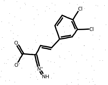 N=[N+]=C(C=Cc1ccc(Cl)c(Cl)c1)C(=O)[O-]